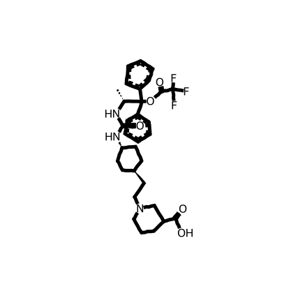 C[C@@H](NC(=O)N[C@H]1CC[C@H](CCN2CCCC(C(=O)O)C2)CC1)C(OC(=O)C(F)(F)F)(c1ccccc1)c1ccccc1